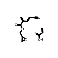 C=C(C=CC#N)C(=O)OCC1CO1.C=CC(=O)O